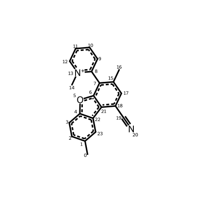 Cc1ccc2oc3c(-c4cccc[n+]4C)c(C)cc(C#N)c3c2c1